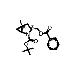 CC(C)(C)OC(=O)N1C2C[C@]2(C)C[C@H]1COC(=O)c1ccccc1